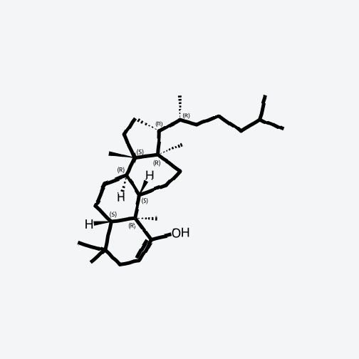 CC(C)CCC[C@@H](C)[C@H]1CC[C@@]2(C)[C@@H]3CC[C@H]4C(C)(C)CC=C(O)[C@]4(C)[C@H]3CC[C@]12C